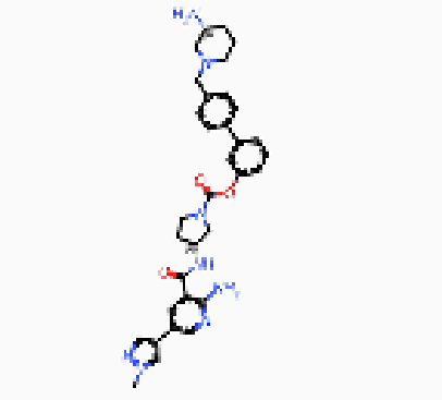 Cn1cc(-c2cnc(N)c(C(=O)N[C@@H]3CCN(C(=O)Oc4cccc(-c5ccc(CN6CCC[C@@H](N)C6)cc5)c4)C3)c2)cn1